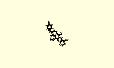 CC(=O)N1CCOCC1Cn1c(=O)c(O)c2n(c1=O)CCN(Cc1ccc(F)cc1)C2=O